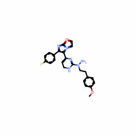 COc1ccc(CCN(N)C2=NC(c3c(-c4ccc(F)cc4)nc4occn34)=CCN2)cc1